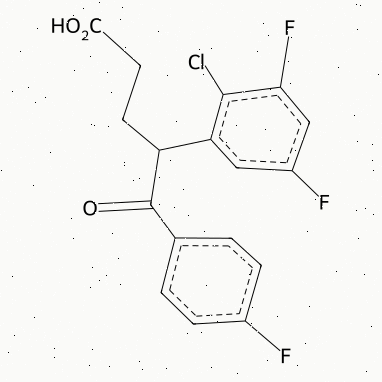 O=C(O)CCC(C(=O)c1ccc(F)cc1)c1cc(F)cc(F)c1Cl